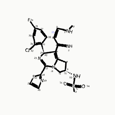 CN/C=C\C(=N)C1=C2C[C@H](NS(C)(=O)=O)CN2C(c2nccs2)=N[C@H]1c1ccc(F)cc1Cl